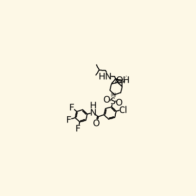 CC(C)CNC[C@@]1(O)C2C[C@@H](S(=O)(=O)c3cc(C(=O)Nc4cc(F)c(F)c(F)c4)ccc3Cl)CC1[C@@H](C)C2